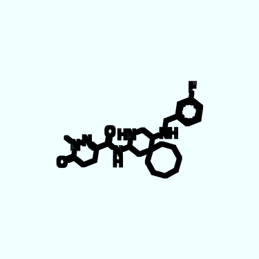 CN1N=C(C(=O)NC2CC3(CCCCCCC3)C(NCc3cccc(F)c3)CN2)CCC1=O